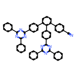 N#Cc1ccc(-c2cccc(-c3ccc(-c4nc(-c5ccccc5)nc(-c5ccccc5)n4)cc3)c2-c2ccc(-c3nc(-c4ccccc4)nc(-c4ccccc4)n3)cc2)cc1